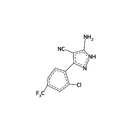 N#Cc1c(-c2ccc(C(F)(F)F)cc2Cl)n[nH]c1N